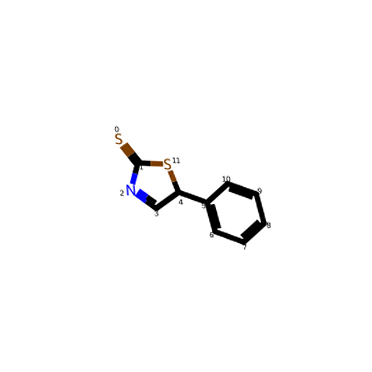 S=C1N=CC(c2ccccc2)S1